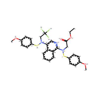 CCOC(=O)CN(Sc1ccc(OC)cc1)c1ncc(N(CC(F)(F)F)Sc2ccc(OC)cc2)c2ccccc12